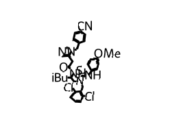 CCC(C)C(CN(Cc1c(Cl)cccc1Cl)C(=S)Nc1ccc(OC)cc1)NC(=O)Cc1cncn1Cc1ccc(C#N)cc1